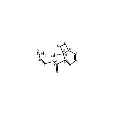 C=C(S/C=C\N)C1=CC=CC2CC[C@H]12